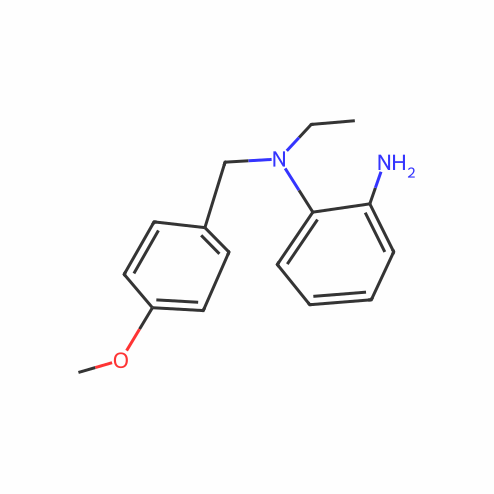 CCN(Cc1ccc(OC)cc1)c1ccccc1N